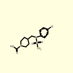 CS(=O)(=O)N(CC1CCN(C(=O)O)CC1)c1ccc(Cl)cc1